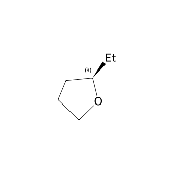 [CH2]C[C@@H]1CCCO1